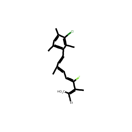 CCC(C(=O)O)=C(C)C(F)=CC=C(C)C=Cc1c(C)cc(C)c(Cl)c1C